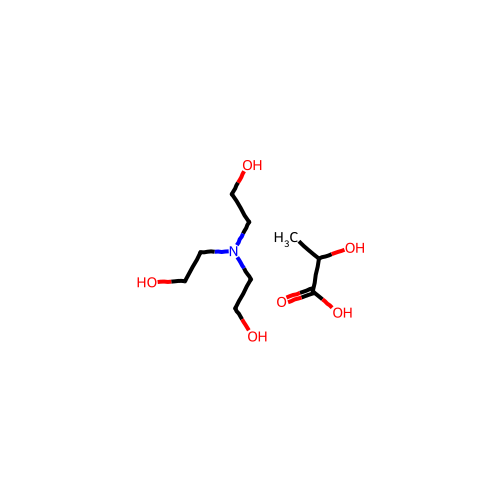 CC(O)C(=O)O.OCCN(CCO)CCO